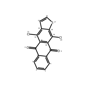 O=C1c2ccccc2C(=O)c2c1c(Cl)c1ccsc1c2Cl